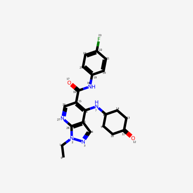 CCn1ncc2c(NC3CCC(=O)CC3)c(C(=O)Nc3ccc(F)cc3)cnc21